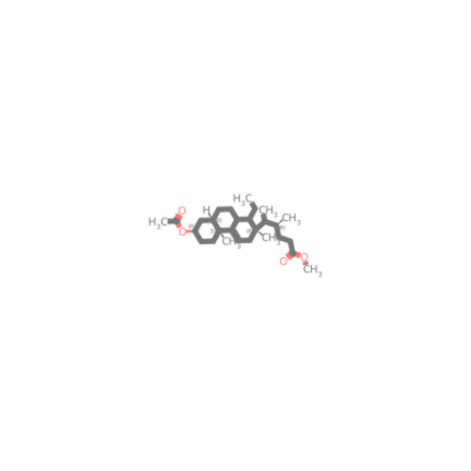 CCC1C2CC[C@@H]3C[C@H](OC(C)=O)CC[C@]3(C)C2=CC[C@]1(C)C(C)[C@H](C)CCC(=O)OC